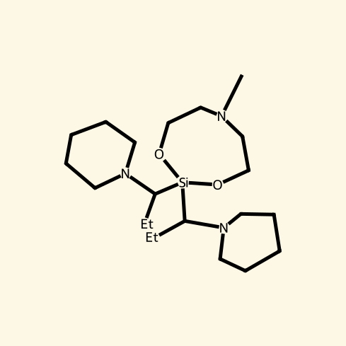 CCC(N1CCCCC1)[Si]1(C(CC)N2CCCCC2)OCCN(C)CCO1